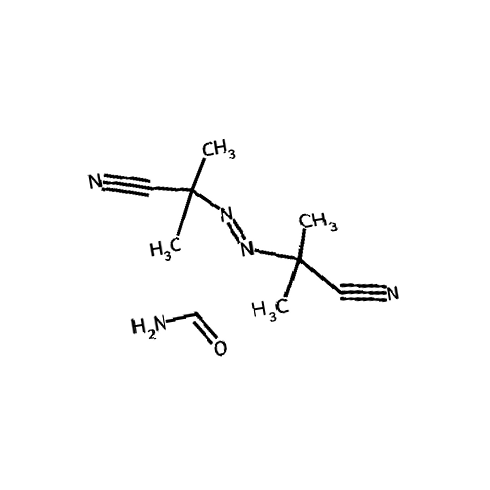 CC(C)(C#N)N=NC(C)(C)C#N.NC=O